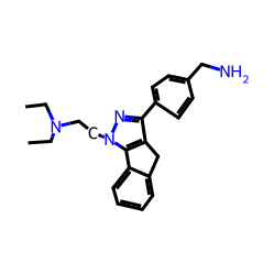 CCN(CC)CCn1nc(-c2ccc(CN)cc2)c2c1-c1ccccc1C2